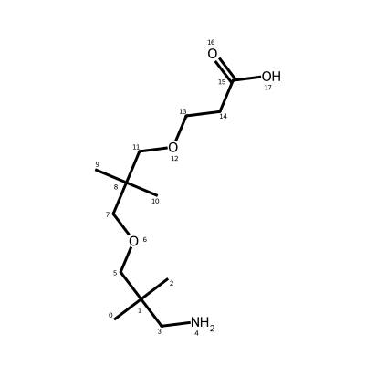 CC(C)(CN)COCC(C)(C)COCCC(=O)O